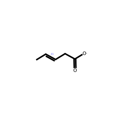 C/C=C/CC([O])=O